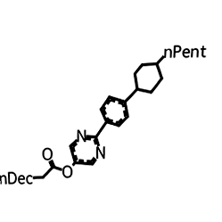 CCCCCCCCCCCC(=O)Oc1cnc(-c2ccc(C3CCC(CCCCC)CC3)cc2)nc1